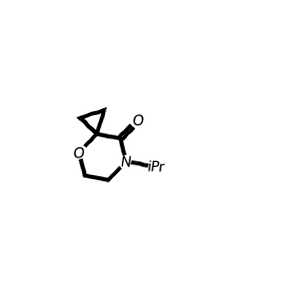 CC(C)N1CCOC2(CC2)C1=O